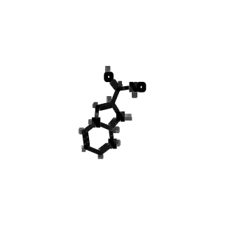 O=NC(=O)c1cn2cccnc2n1